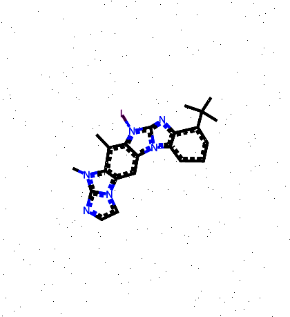 Cc1c2c(cc3c1n(I)c1nc4c(C(C)(C)C)cccc4n31)n1ccnc1n2C